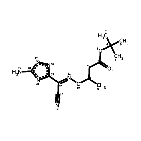 CC(CC(=O)OC(C)(C)C)ON=C(C#N)c1nsc(N)n1